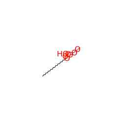 CCCCCCCCCCCCCCCCCCCCOC(COCCOCCOCC)S(=O)(=O)O